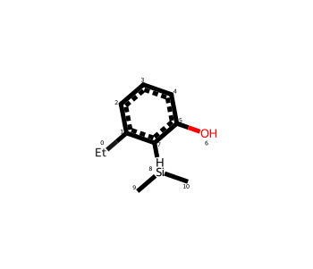 CCc1cccc(O)c1[SiH](C)C